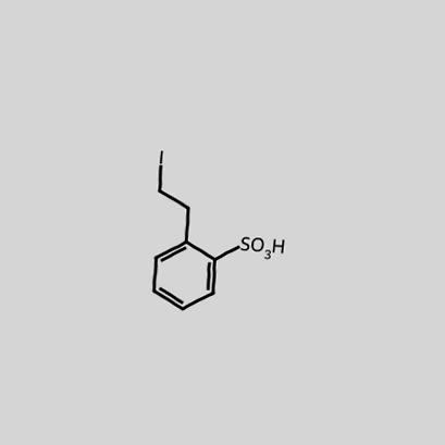 O=S(=O)(O)c1ccccc1CCI